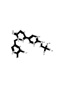 Cc1ncc(Cn2nc(-c3cnc(OCC(F)(F)F)nc3)ccc2=O)cc1F